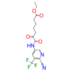 CCOC(=O)CCCCC(=O)C(=O)Nc1cnc(C#N)c(C(F)(F)F)c1